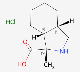 C[C@]1(C(=O)O)NC[C@H]2CCCC[C@H]21.Cl